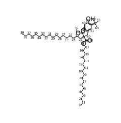 CCCCCCCCCCCCCCCCCCOC(=O)C(CCCCCCCCCCCCCCCCCC)(Cc1ccc(O)c(C(C)(C)C)c1)C(=O)OC